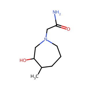 CC1CCCN(CC(N)=O)CC1O